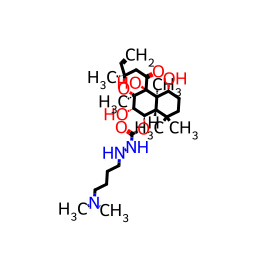 C=C[C@@]1(C)CC(=O)[C@]2(O)[C@@]3(C)[C@@H](O)CCC(C)(C)[C@@H]3[C@H](OC(=O)NNCCCCN(C)C)[C@H](O)[C@@]2(C)O1